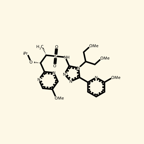 COCC(COC)n1c(NS(=O)(=O)[C@@H](C)[C@@H](OC(C)C)c2ncc(OC)cn2)nnc1-c1cccc(OC)n1